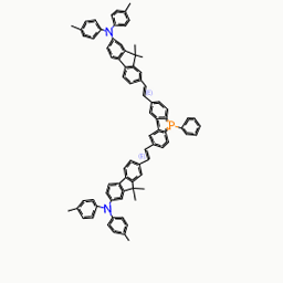 Cc1ccc(N(c2ccc(C)cc2)c2ccc3c(c2)C(C)(C)c2cc(/C=C/c4ccc5c(c4)c4cc(/C=C/c6ccc7c(c6)C(C)(C)c6cc(N(c8ccc(C)cc8)c8ccc(C)cc8)ccc6-7)ccc4p5-c4ccccc4)ccc2-3)cc1